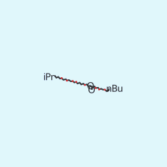 CCCC/C=C\CCCCCCCC(=O)OCCCCCCCCCCCCCCCCCCCCC(C)C